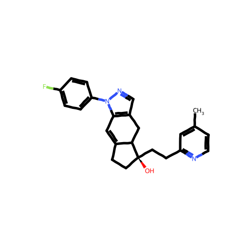 Cc1ccnc(CC[C@]2(O)CCC3=Cc4c(cnn4-c4ccc(F)cc4)CC32)c1